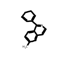 Cc1ccc2c(C3=CCCC=C3)nccc2c1